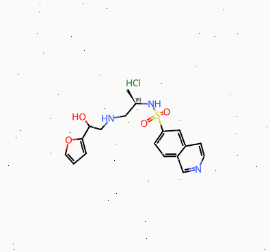 C[C@H](CNCC(O)c1ccco1)NS(=O)(=O)c1ccc2cnccc2c1.Cl